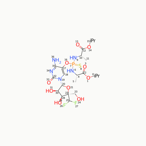 CC(C)OC(=O)[C@H](C)NP(=S)(N[C@@H](C)C(=O)OC(C)C)Oc1cn([C@@H]2O[C@@](CO)(C(F)F)[C@@H](O)[C@H]2O)c(=O)nc1N